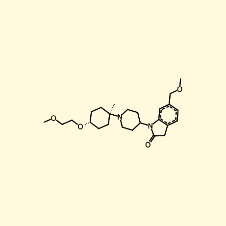 COCCO[C@H]1CC[C@](C)(N2CCC(N3C(=O)Cc4ccc(COC)cc43)CC2)CC1